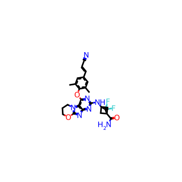 Cc1cc(/C=C/C#N)cc(C)c1Oc1nc(NC23CC(C(N)=O)(C2)C3(F)F)nc2nc3n(c12)CCCO3